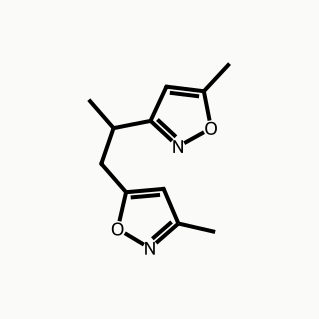 Cc1cc(CC(C)c2cc(C)on2)on1